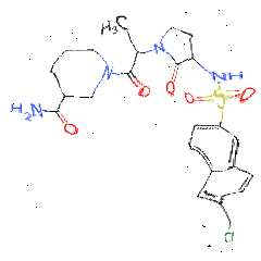 CC(C(=O)N1CCCC(C(N)=O)C1)N1CCC(NS(=O)(=O)c2ccc3cc(Cl)ccc3c2)C1=O